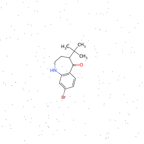 CC(C)(C)C1CCNc2cc(Br)ccc2C1=O